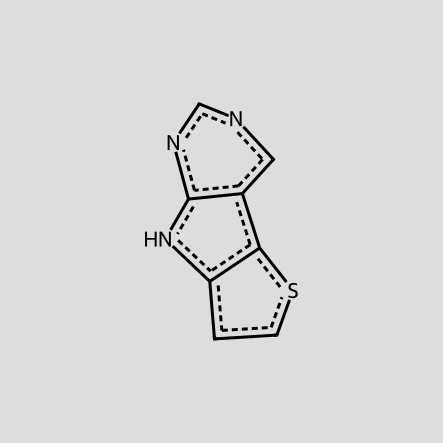 c1ncc2c(n1)[nH]c1ccsc12